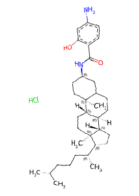 CC(C)CCC[C@@H](C)[C@H]1CC[C@H]2[C@@H]3CCC4C[C@H](NC(=O)c5ccc(N)cc5O)CC[C@]4(C)[C@H]3CC[C@]12C.Cl